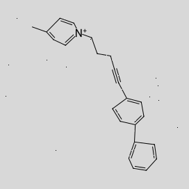 Cc1cc[n+](CCCC#Cc2ccc(-c3ccccc3)cc2)cc1